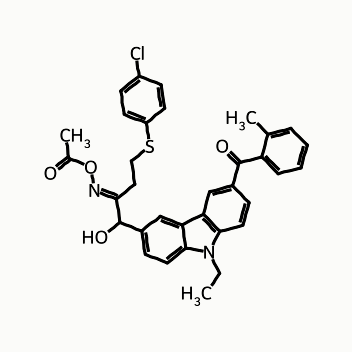 CCn1c2ccc(C(=O)c3ccccc3C)cc2c2cc(C(O)/C(CCSc3ccc(Cl)cc3)=N/OC(C)=O)ccc21